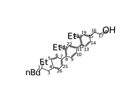 CCCCC(CC)Cc1ccc(-c2ccc(-c3ccc(CCO)cc3CC)cc2CC)cc1